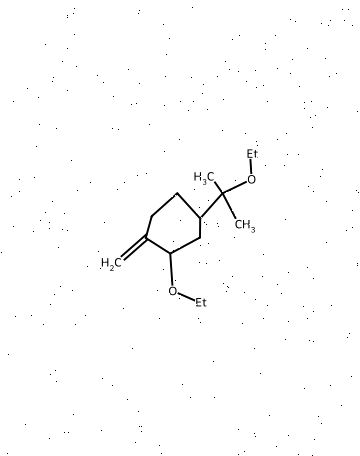 C=C1CCC(C(C)(C)OCC)CC1OCC